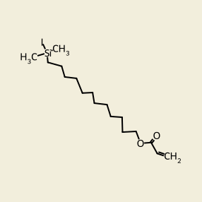 C=CC(=O)OCCCCCCCCCCCC[Si](C)(C)I